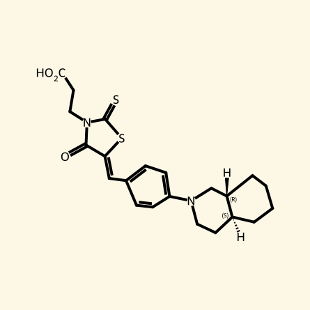 O=C(O)CCN1C(=O)C(=Cc2ccc(N3CC[C@@H]4CCCC[C@H]4C3)cc2)SC1=S